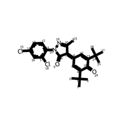 CC(C)(C)C1=CC(=C2C(=O)N(c3ccc(Cl)cc3Cl)N=C2I)C=C(C(C)(C)C)C1=O